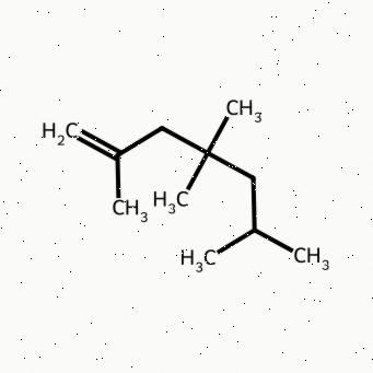 C=C(C)CC(C)(C)CC(C)C